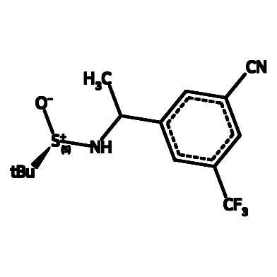 CC(N[S@+]([O-])C(C)(C)C)c1cc(C#N)cc(C(F)(F)F)c1